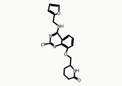 O=C1CCCC(COc2cccc3c(NCc4ccco4)nc(Cl)nc23)N1